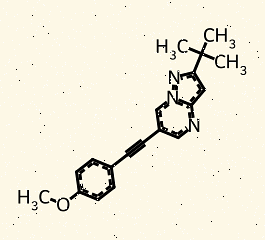 COc1ccc(C#Cc2cnc3cc(C(C)(C)C)nn3c2)cc1